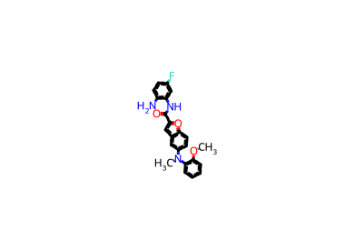 COc1ccccc1N(C)c1ccc2oc(C(=O)Nc3cc(F)ccc3N)cc2c1